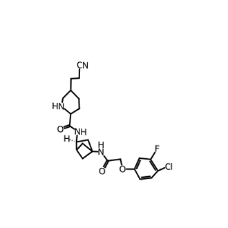 N#CCCC1CCC(C(=O)N[C@H]2CC3(NC(=O)COc4ccc(Cl)c(F)c4)CC2C3)NC1